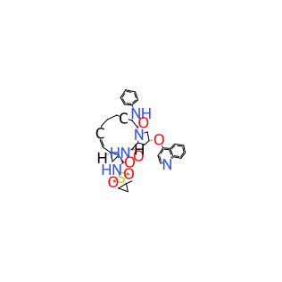 CC1(S(=O)(=O)NC(=O)[C@@]23C[C@H]2/C=C\CCCCC[C@H](Nc2ccccc2)C(=O)N2C[C@H](Oc4ccnc5ccccc45)C[C@H]2C(=O)N3)CC1